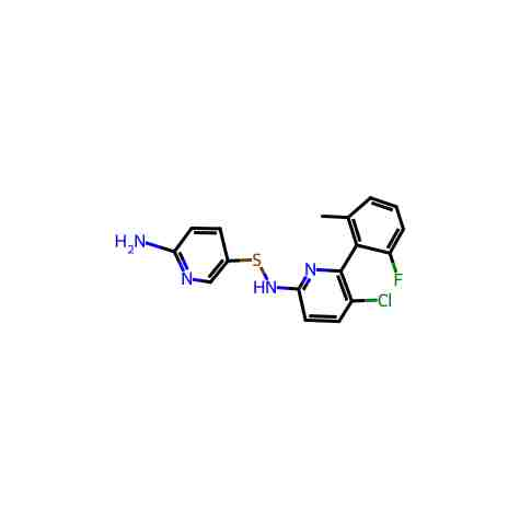 Cc1cccc(F)c1-c1nc(NSc2ccc(N)nc2)ccc1Cl